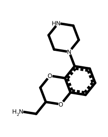 NCC1COc2c(cccc2N2CCNCC2)O1